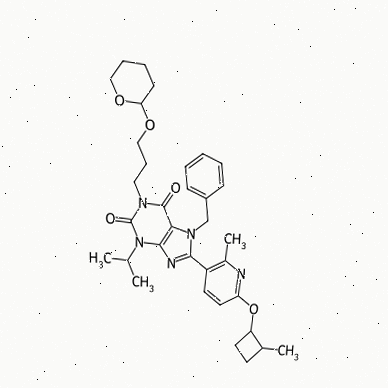 Cc1nc(OC2CCC2C)ccc1-c1nc2c(c(=O)n(CCCOC3CCCCO3)c(=O)n2C(C)C)n1Cc1ccccc1